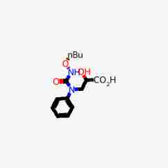 CCCCONC(=O)N(CC(O)C(=O)O)c1ccccc1